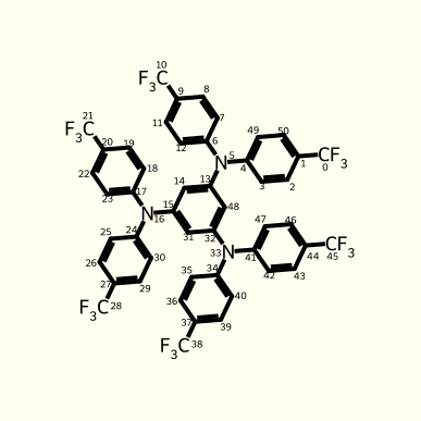 FC(F)(F)c1ccc(N(c2ccc(C(F)(F)F)cc2)c2cc(N(c3ccc(C(F)(F)F)cc3)c3ccc(C(F)(F)F)cc3)cc(N(c3ccc(C(F)(F)F)cc3)c3ccc(C(F)(F)F)cc3)c2)cc1